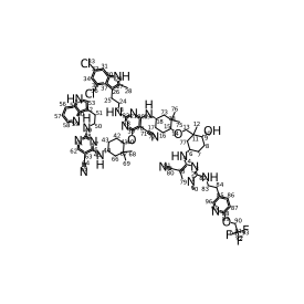 C=N/C(=N\C(N[C@@H]1CC[C@H](O)C(C)(CO[C@H]2CC[C@@H](Nc3nc(NCCc4c(C)[nH]c5cc(Cl)cc(Cl)c45)nc(O[C@H]4CC[C@@H](Nc5nc(NCCc6c[nH]c7cccnc67)ncc5C#N)CC4(C)C)c3C#N)CC2(C)C)C1)=C(/C)C#N)NCCc1ccc(OCC(F)(F)F)nc1